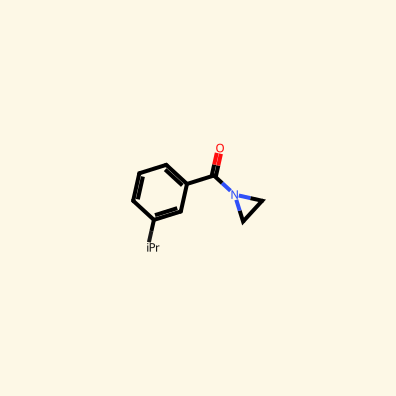 CC(C)c1cccc(C(=O)N2CC2)c1